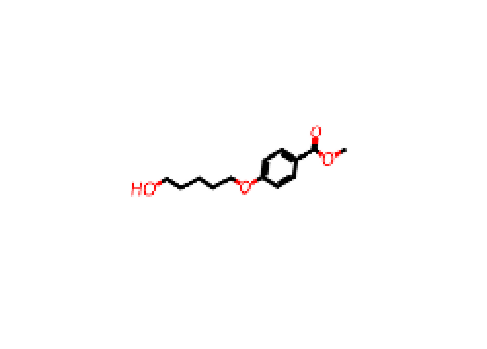 COC(=O)c1ccc(OCCCCCO)cc1